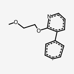 COCCOc1ncccc1-c1cc[c]cc1